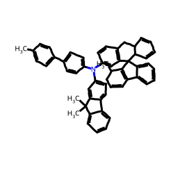 Cc1ccc(-c2ccc(N(c3ccc4c(c3)C(C)(C)c3ccccc3-4)c3ccc4c(c3)C3(C5=C(C=CCC5C)c5ccccc53)C3C=CC=CC3C4)cc2)cc1